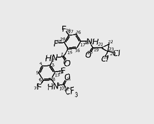 O=C(Nc1ccc(F)c(NC(=O)C(F)(F)F)c1F)c1cc(NC(=O)C2CC2(Cl)Cl)cc(F)c1F